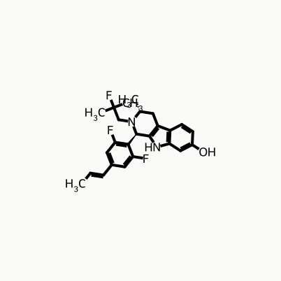 C/C=C/c1cc(F)c([C@@H]2c3[nH]c4cc(O)ccc4c3C[C@@H](C)N2CC(C)(C)F)c(F)c1